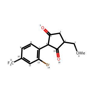 COCC1CC(=O)C(c2ccc(C(F)(F)F)cc2Br)C1=O